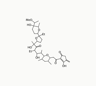 C=C1CC(=O)C(C(=O)CC2OC(C(C)C(O)C(CC)C(=O)C(C)(O)C3CCC(CC)(C4CCC(O)(C(C)OC)C(C)O4)O3)C(C)CC2C)=C1O